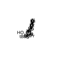 CC(C)[C@H](NC(=O)OC(C)(C)C)C(=O)N1C[C@H](OC(=O)N2CCN(c3ccncc3)CC2)C[C@H]1C(=O)O